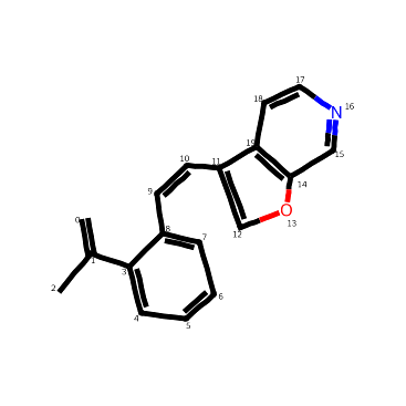 C=C(C)c1ccccc1/C=C\c1coc2cnccc12